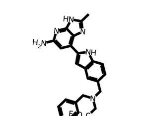 CCOC(=O)CN(Cc1ccccc1)Cc1ccc2[nH]c(-c3cc(N)nc4[nH]c(C)nc34)cc2c1